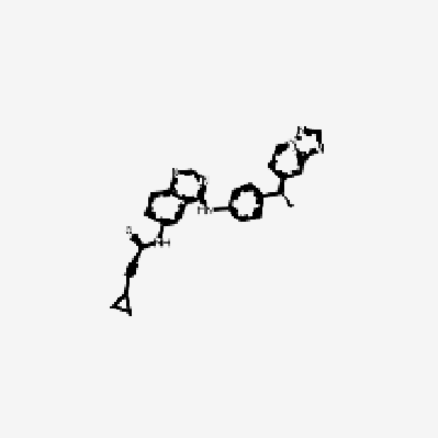 C[C@@H](c1ccc(Nc2ncnc3ccc(NC(=O)C#CC4CC4)cc23)cc1)c1ccn2ncnc2c1